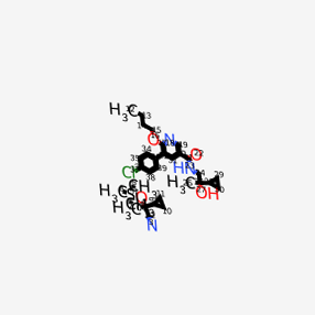 CC(C#N)(O[Si](C)(C)C)C1CC1.CCCCOc1ncc(C(=O)NCC(C)(O)C2CC2)cc1-c1ccc(Cl)cc1